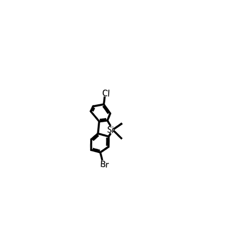 C[Si]1(C)c2cc(Cl)ccc2-c2ccc(Br)cc21